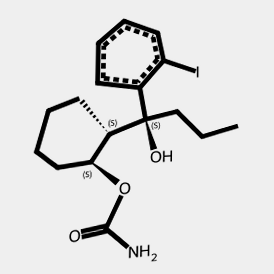 CCC[C@@](O)(c1ccccc1I)[C@H]1CCCC[C@@H]1OC(N)=O